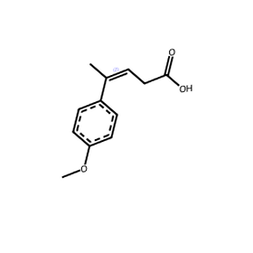 COc1ccc(/C(C)=C\CC(=O)O)cc1